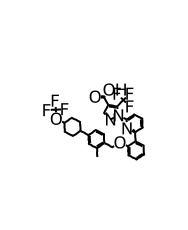 Cc1cc(C2CCC(OC(F)(F)F)CC2)ccc1COc1ccccc1-c1cccc(-n2ncc(C(=O)O)c2C(F)(F)F)n1